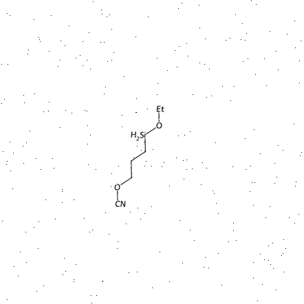 CCO[SiH2]CCCOC#N